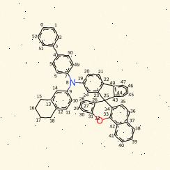 c1ccc(-c2ccc(N(c3ccc4c(c3)CCCC4)c3ccc4c(c3)C3(c5ccccc5Oc5c3ccc3ccccc53)c3ccccc3-4)cc2)cc1